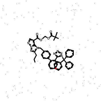 CCCc1nn2ncc(C(=O)OCOC(=O)C(C)(C)C)c2n1Cc1ccc(-c2ccccc2-c2nnnn2C(c2ccccc2)(c2ccccc2)c2ccccc2)cc1